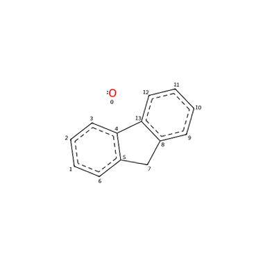 [O].c1ccc2c(c1)Cc1ccccc1-2